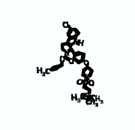 CC#CCOC(=O)N1CCc2c([nH]c3ccc(Cl)cc23)C1c1ccc(OC2CCN(S(=O)(=O)CC[Si](C)(C)C)CC2)cc1